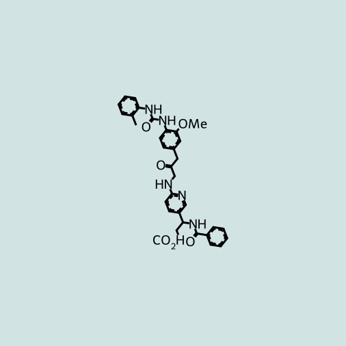 COc1cc(CC(=O)CNc2ccc(C(CC(=O)O)NC(=O)c3ccccc3)cn2)ccc1NC(=O)Nc1ccccc1C